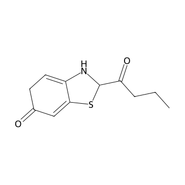 CCCC(=O)C1NC2=CCC(=O)C=C2S1